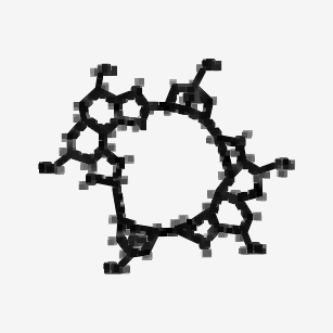 CC(C)(C)c1cc2c(O)c(c1)c1nc3c(o1)c(C(C)(C)C)cc1cc(C(C)(C)C)c4oc(nc4c13)c1cc(C(C)(C)C)cc(c1O)c1nc3c(o1)c(C(C)(C)C)cc1cc(C(C)(C)C)c4oc2nc4c13